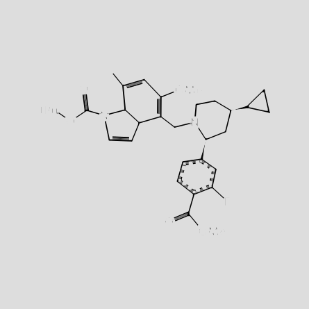 COC(=O)c1ccc([C@@H]2C[C@H](C3CC3)CCN2CC2=C(OC)C=C(C)C3C2C=CN3C(=O)OC(C)(C)C)cc1F